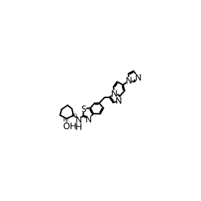 O[C@@H]1CCCC[C@H]1Nc1nc2ccc(Cc3cnc4cc(-n5ccnc5)ccn34)cc2s1